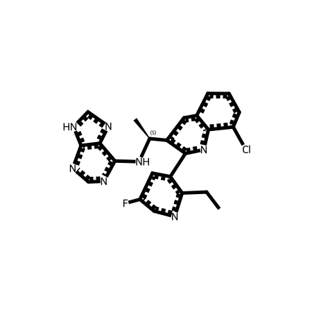 CCc1ncc(F)cc1-c1nc2c(Cl)cccc2cc1[C@H](C)Nc1ncnc2[nH]cnc12